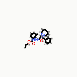 CCCOC(=O)c1cccc(C)c1NC(=O)C[N+]1(Cc2ccccc2)CCCCCC1